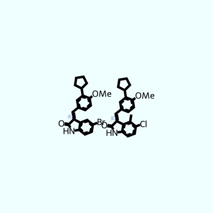 COc1ccc(/C=C2/C(=O)Nc3ccc(Br)cc32)cc1C1CCCC1.COc1ccc(/C=C2/C(=O)Nc3ccc(Cl)c(C)c32)cc1C1CCCC1